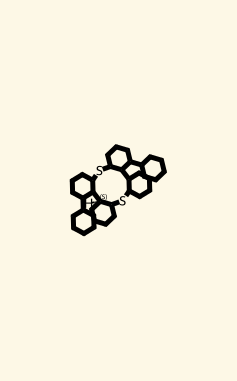 C1CCC(C2CCCC3SC4CCCC(C5CCCCC5)C4[C@@H]4CCCCC4SC4CCCCC4C32)CC1